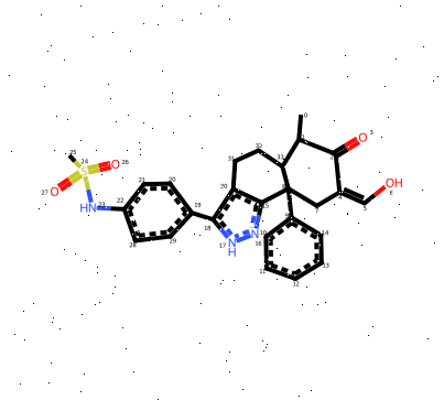 CC1C(=O)C(=CO)CC2(c3ccccc3)c3n[nH]c(-c4ccc(NS(C)(=O)=O)cc4)c3CCC12